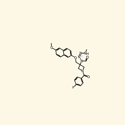 CN/N=N\N(C=O)C1(COc2ccc3cc(OC)ccc3c2)CN(C(=O)c2ccc(F)cc2)C1